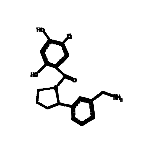 NCc1cccc(C2CCCN2C(=O)c2cc(Cl)c(O)cc2O)c1